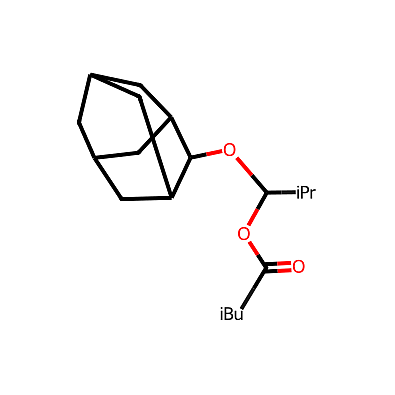 CCC(C)C(=O)OC(OC1C2CC3CC(C2)CC1C3)C(C)C